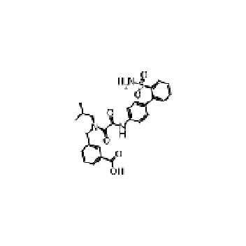 CC(C)CN(Cc1cccc(C(=O)O)c1)C(=O)C(=O)Nc1ccc(-c2ccccc2S(N)(=O)=O)cc1